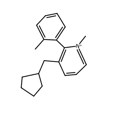 Cc1ccccc1-c1c(CC2CCCC2)ccc[n+]1C